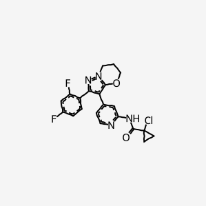 O=C(Nc1cc(-c2c(-c3ccc(F)cc3F)nn3c2OCCC3)ccn1)C1(Cl)CC1